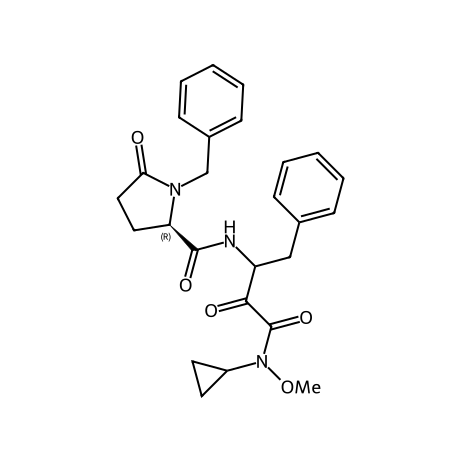 CON(C(=O)C(=O)C(Cc1ccccc1)NC(=O)[C@H]1CCC(=O)N1Cc1ccccc1)C1CC1